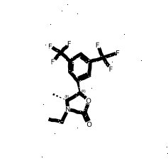 CCN1C(=O)O[C@H](c2cc(C(F)(F)F)cc(C(F)(F)F)c2)[C@H]1C